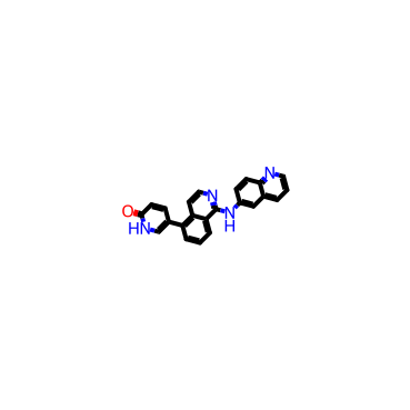 O=c1ccc(-c2cccc3c(Nc4ccc5ncccc5c4)nccc23)c[nH]1